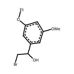 CCOc1cc(OC)cc(C(O)CBr)c1